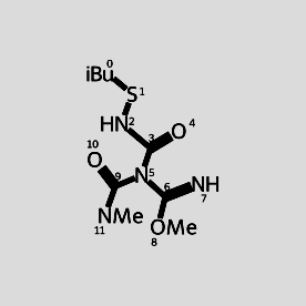 CCC(C)SNC(=O)N(C(=N)OC)C(=O)NC